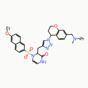 CCOc1ccc2cc(S(=O)(=O)N3C=CNC(=O)C3Cc3cn(C4CCOc5cc(CN(C)C(C)C)ccc54)nn3)ccc2c1